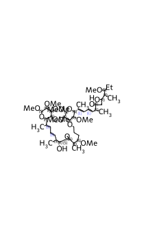 CC[C@H](OC)[C@@H](C)[C@H]1C[C@@](O)([C@@H](C)/C=C/C=C(\C)[C@H]2O[C@H](OC)[C@@H](OC)[C@@H](OCCC[C@H](OC)[C@@H](C)[C@@H]3O[C@H]3[C@H](O)[C@@H](C)/C=C/C=C(\C)[C@H]3O[C@H](OC)[C@H](OC)[C@@H](OC)[C@H]3OC)[C@@H]2OC)O1